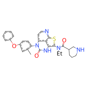 CCN(C(=O)C1CCCNC1)c1sc2nccc3c2c1NC(=O)N3c1ccc(Oc2ccccc2)cc1C